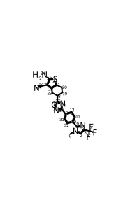 Cn1cc(C(F)(F)F)nc1-c1ccc(-c2noc(C3CCc4sc(N)c(C#N)c4C3)n2)cc1